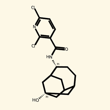 O=C(N[C@@H]1CCC2C[C@@]3(O)CC2CC1C3)c1ccc(Cl)nc1Cl